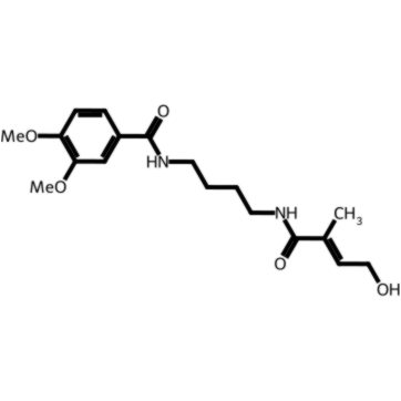 COc1ccc(C(=O)NCCCCNC(=O)/C(C)=C/CO)cc1OC